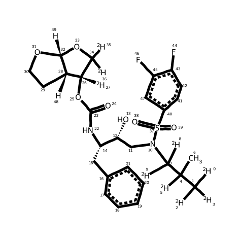 [2H]C([2H])([2H])C([2H])(C)C([2H])([2H])N(C[C@@H](O)[C@H](Cc1ccccc1)NC(=O)O[C@]1([2H])[C@@H]2CCO[C@@H]2OC1([2H])[2H])S(=O)(=O)c1ccc(F)c(F)c1